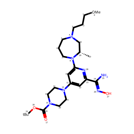 COCCCN1CCCN(c2cc(N3CCN(C(=O)OC(C)(C)C)CC3)cc(/C(N)=N/O)n2)[C@@H](C)C1